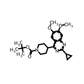 COc1cc2nc(C3CC3)nc(C3CCN(C(=O)OC(C)(C)C)CC3)c2cc1OC